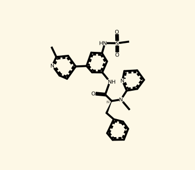 Cc1cc(-c2cc(NC(=O)[C@H](Cc3ccccc3)N(C)c3ccccn3)cc(NS(C)(=O)=O)c2)ccn1